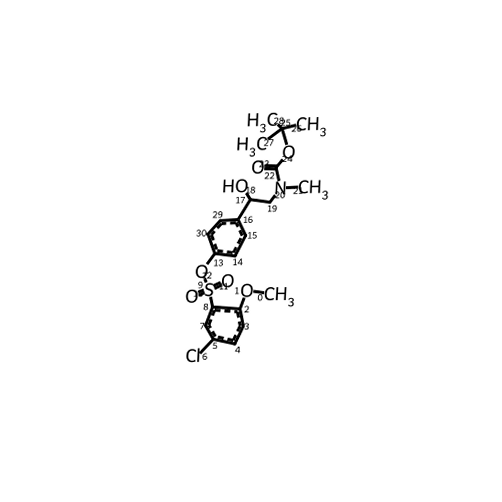 COc1ccc(Cl)cc1S(=O)(=O)Oc1ccc(C(O)CN(C)C(=O)OC(C)(C)C)cc1